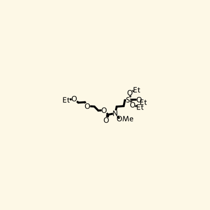 CCOCCOCCOC(=O)N(CCC[Si](OCC)(OCC)OCC)OC